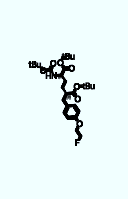 CC(C)(C)OC(=O)N[C@H](CC[C@H](Cc1ccc(OCCF)cc1)C(=O)OC(C)(C)C)C(=O)OC(C)(C)C